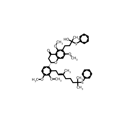 COc1cc2c(c(OC)c1CCC(C)(O)Sc1ccccc1)C(=O)C[C@@H](c1ccc(OC)c(OC)c1C/C=C(\C)CCCC(C)(C)Sc1ccccc1)O2